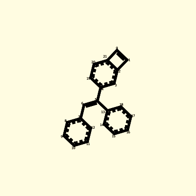 C1=Cc2cc(C(=Cc3ccccc3)c3ccccc3)ccc21